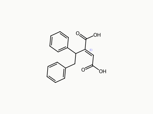 O=C(O)/C=C(/C(=O)O)C(Cc1ccccc1)c1ccccc1